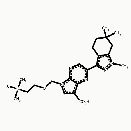 Cn1nc(-c2cnc3c(n2)c(C(=O)O)cn3COCC[Si](C)(C)C)c2c1CC(C)(C)CC2